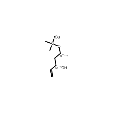 C=C[C@@H](O)C[C@@H](C)O[Si](C)(C)C(C)(C)C